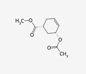 COC(=O)[C@@H]1CC=C[C@H](OC(C)=O)C1